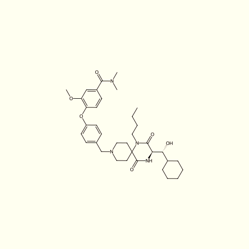 CCCCN1C(=O)[C@@H]([C@H](O)C2CCCCC2)NC(=O)C12CCN(Cc1ccc(Oc3ccc(C(=O)N(C)C)cc3OC)cc1)CC2